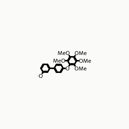 COc1c(OC)c(OC)c(Oc2ccc(-c3cccc([O])c3)cc2)c(OC)c1OC